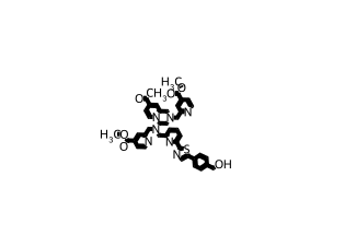 COC(=O)c1ccnc(CN(CCN(Cc2cc(C(=O)OC)ccn2)Cc2cccc(-c3ncc(-c4ccc(CO)cc4)s3)n2)Cc2cc(C(C)=O)ccn2)c1